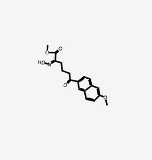 COC(=O)C(CCCC(=O)c1ccc2cc(OC)ccc2c1)=NO